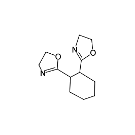 C1CCC(C2=NCCO2)C(C2=NCCO2)C1